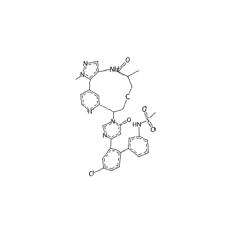 CC1CCCC(n2cnc(-c3cc(Cl)ccc3-c3cccc(NS(C)(=O)=O)c3)cc2=O)c2cc(ccn2)-c2c(cnn2C)NC1=O